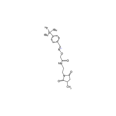 CC1CC(=O)N(CCNC(=O)CO/N=C/c2ccc([Si]([18F])(C(C)(C)C)C(C)(C)C)cc2)C1=O